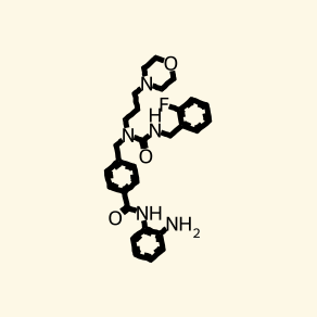 Nc1ccccc1NC(=O)c1ccc(CN(CCCN2CCOCC2)C(=O)NCc2ccccc2F)cc1